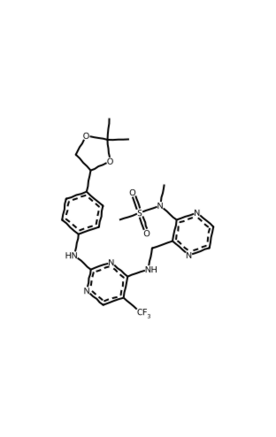 CN(c1nccnc1CNc1nc(Nc2ccc(C3COC(C)(C)O3)cc2)ncc1C(F)(F)F)S(C)(=O)=O